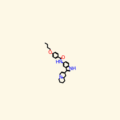 CCCCOc1ccc(C(=O)Nc2ccc3[nH]cc(C4=CCN5CCCCC5C4)c3c2)cc1